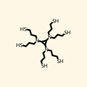 SCCCN(CCCS)C1C(N(CCCS)CCCS)C1N(CCCS)CCCS